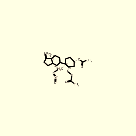 C=C1CCC2[C@H](CN=[N+]=[N-])C([C@@]3(C)CC[C@H](OC(C)=O)C[C@@H]3COC(C)=O)CC[C@]12C